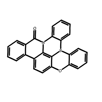 O=c1c2ccccc2c2ccc3c4c2n1-c1ccccc1B4c1ccccc1O3